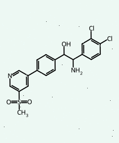 CS(=O)(=O)c1cncc(-c2ccc(C(O)C(N)c3ccc(Cl)c(Cl)c3)cc2)c1